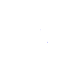 C=Cc1cnon1